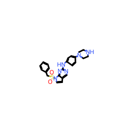 O=S(=O)(Cc1ccccc1)n1ccc2cnc(Nc3ccc(N4CCNCC4)cc3)nc21